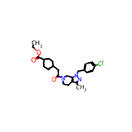 CCOC(=O)C1CCC(CC(=O)N2CCc3c(C)nn(Cc4ccc(Cl)cc4)c3C2)CC1